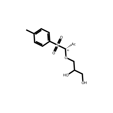 CC(=O)[C@H](OCC(O)CO)S(=O)(=O)c1ccc(C)cc1